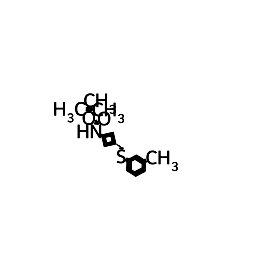 Cc1cccc(SC[C@H]2C[C@H](NC(=O)OC(C)(C)C)C2)c1